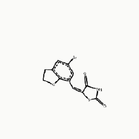 O=C1NC(=O)C(=Cc2cc(Br)cc3c2OCC3)S1